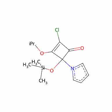 CC(C)OC1=C(Cl)C(=O)C1(O[Si](C)(C)C)n1cccc1